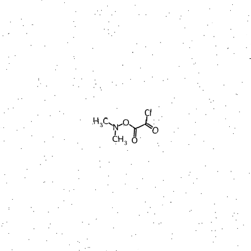 CN(C)OC(=O)C(=O)Cl